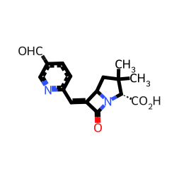 CC1(C)CC2/C(=C\c3ccc(C=O)cn3)C(=O)N2[C@H]1C(=O)O